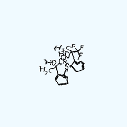 CC(C)(O)c1ccccc1[S+]([O-])c1ccccc1C(C)(O)C(F)(F)F